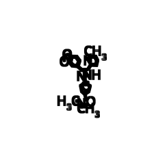 Cc1cccc(-c2[nH]c(C34CCC(C(=O)N(C)C)(CC3)CC4)nc2-c2ccc3c(c2)OCO3)n1